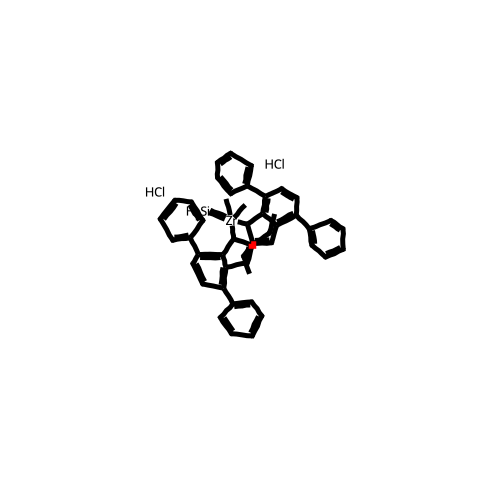 CCC1=Cc2c(-c3ccccc3)ccc(-c3ccccc3)c2[CH]1[Zr]([CH3])([CH3])(=[SiH2])[CH]1C(CC)=Cc2c(-c3ccccc3)ccc(-c3ccccc3)c21.Cl.Cl